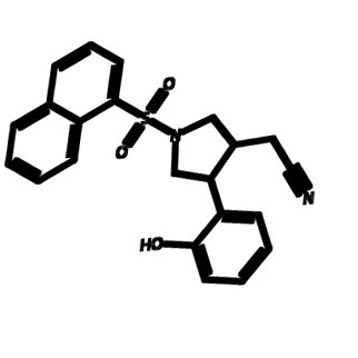 N#CCC1CN(S(=O)(=O)c2cccc3ccccc23)CC1c1ccccc1O